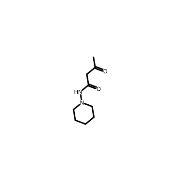 CC(=O)CC(=O)NN1CCCCC1